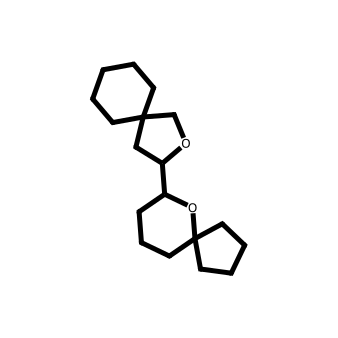 C1CCC2(CC1)COC(C1CCCC3(CCCC3)O1)C2